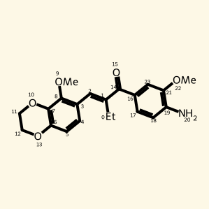 CC/C(=C\c1ccc2c(c1OC)OCCO2)C(=O)c1ccc(N)c(OC)c1